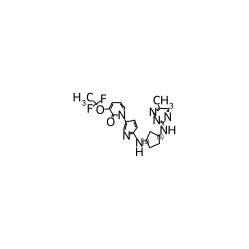 Cc1cnc(N[C@H]2CC[C@H](Nc3ccc(-n4cccc(OC(C)(F)F)c4=O)cn3)C2)nn1